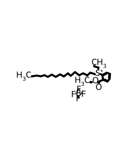 CCCCCCCCCCCCCCCCCC[S+](CCC)c1ccccc1C(=O)OCC.F[B-](F)(F)F